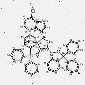 O[C@@H]1[C@H](OC(c2ccccc2)(c2ccccc2)c2ccccc2)[C@@H](COC(c2ccccc2)(c2ccccc2)c2ccccc2)O[C@H]1n1cnc2c(Cl)ncnc21